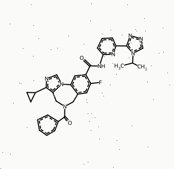 CC(C)n1cnnc1-c1cccc(NC(=O)c2cc3c(cc2F)CN(C(=O)c2ccccc2)Cc2c(C4CC4)ncn2-3)n1